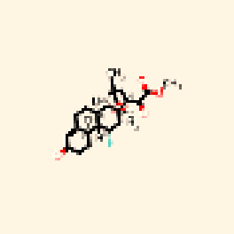 COC(=O)C(=O)[C@@]12CC[C@@]3(OC(C)O1)[C@@H]1CCC4=CC(=O)CC[C@]4(C)[C@H]1[C@@H](F)C[C@]23C